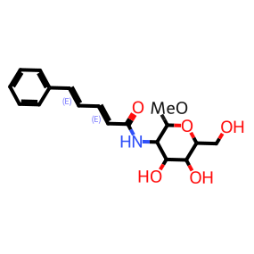 COC1OC(CO)C(O)C(O)C1NC(=O)/C=C/C=C/c1ccccc1